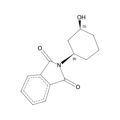 O=C1c2ccccc2C(=O)N1[C@@H]1CCC[C@H](O)C1